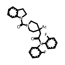 CC(=O)C1(CC(=O)N(c2ccccc2F)c2ccccc2F)CCN(C(=O)N2CCc3ccccc32)CC1